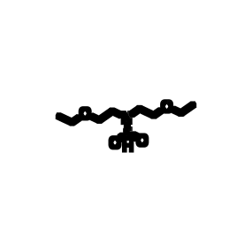 CCOCCN(CCOCC)[SH](=O)=O